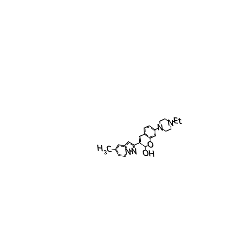 CCN1CCN(c2ccc3c(c2)OC(O)C(c2cc4cc(C)ccn4n2)=C3)CC1